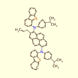 C=CCc1cc2ccc3c(N(c4ccc(C(C)C)cc4)c4cccc5c4sc4ccccc45)ccc4ccc(c1N(c1ccc(C(C)C)cc1)c1cccc5c1sc1ccccc15)c2c43